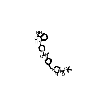 C[C@H]1CN(Cc2ccc(N(C)C(=O)N3CCC(Nc4ccccc4C(N)=O)CC3)cc2)CCN1C(=O)OC(C)(C)C